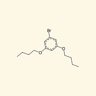 CCCCOc1cc(Br)cc(OCCCC)c1